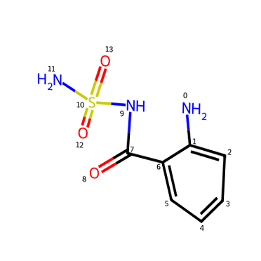 Nc1ccccc1C(=O)NS(N)(=O)=O